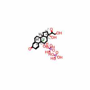 C[C@H]1C[C@H]2[C@@H]3CCC4=CC(=O)C=C[C@]4(C)[C@@]3(F)[C@@H](O)C[C@]2(C)[C@@]1(O)C(=O)CO.O=P(O)(O)O.O=P(O)(O)O